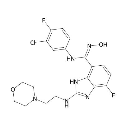 O/N=C(/Nc1ccc(F)c(Cl)c1)c1ccc(F)c2nc(NCCN3CCOCC3)[nH]c12